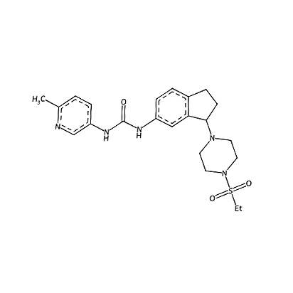 CCS(=O)(=O)N1CCN(C2CCc3ccc(NC(=O)Nc4ccc(C)nc4)cc32)CC1